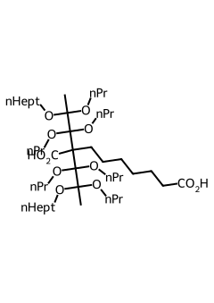 CCCCCCCOC(C)(OCCC)C(OCCC)(OCCC)C(CCCCCCC(=O)O)(C(=O)O)C(OCCC)(OCCC)C(C)(OCCC)OCCCCCCC